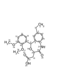 CCc1ccc2c(c1)C(c1cccc(OC)c1OC)OC(CC(=O)O)C(=O)N2